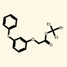 CCC(CC)(OC(=O)COc1cccc(Sc2ccccc2)c1)C(C)C